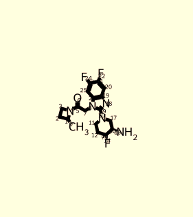 CC1CCN1C(=O)Cn1c(N2CC[C@@H](F)[C@H](N)C2)nc2cc(F)c(F)cc21